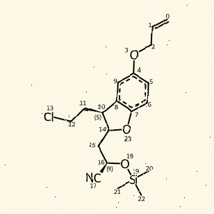 C=CCOc1ccc2c(c1)[C@H](CCCl)C(C[C@H](C#N)O[Si](C)(C)C)O2